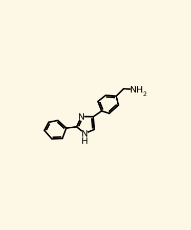 NCc1ccc(-c2c[nH]c(-c3ccccc3)n2)cc1